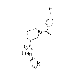 O=C(c1ccc(F)cc1)N1CCC[C@H](C2=CN(c3cccnc3)NO2)C1